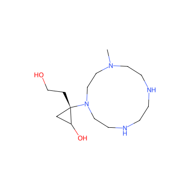 CN1CCNCCNCCN([C@@]2(CCO)CC2O)CC1